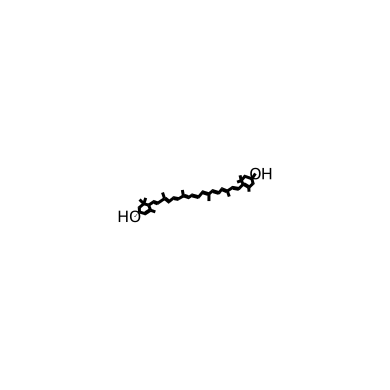 CC1=C[C@H](O)CC(C)(C)C1/C=C/C(C)=C/C=C/C(C)=C/C=C/C=C(C)/C=C/C=C(C)/C=C/C1=C(C)CC(O)CC1(C)C